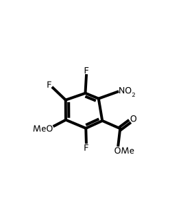 COC(=O)c1c(F)c(OC)c(F)c(F)c1[N+](=O)[O-]